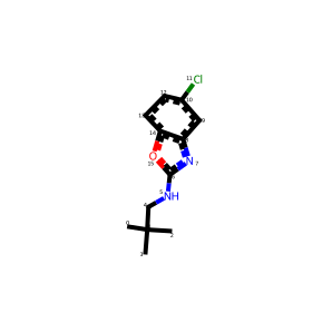 CC(C)(C)CNc1nc2cc(Cl)ccc2o1